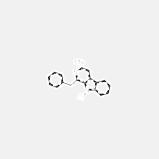 Br.CCn1c2ccccc2c2ccnc(Cc3ccccc3)c21